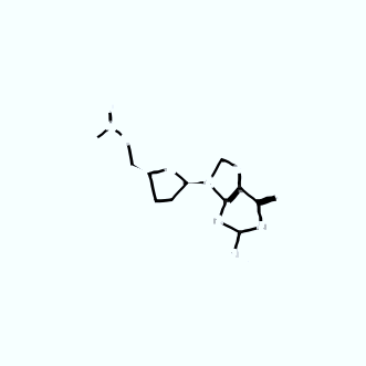 NC1NC(=O)C2=C(N1)N([C@H]1CC[C@@H](COP(O)O)O1)CN2